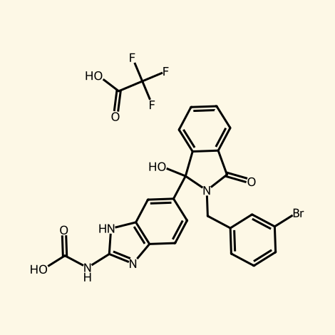 O=C(O)C(F)(F)F.O=C(O)Nc1nc2ccc(C3(O)c4ccccc4C(=O)N3Cc3cccc(Br)c3)cc2[nH]1